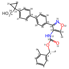 Cc1ccccc1[C@@H](C)OC(=O)Nc1c(-c2ccc(-c3ccc(C4(C(=O)O)CC4)cc3)cc2)noc1C